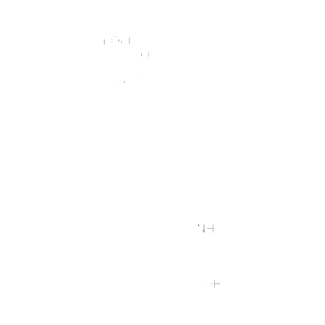 CCCCCCCCOC(=O)CCCCCCCCNCCO